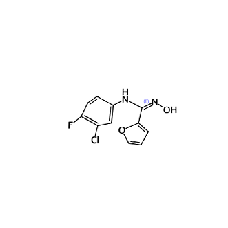 O/N=C(/Nc1ccc(F)c(Cl)c1)c1ccco1